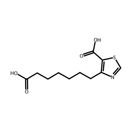 O=C(O)CCCCCCc1ncsc1C(=O)O